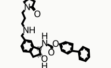 O=C(N[C@@H]1c2cc(CNCCCN3CCCC3=O)ccc2C[C@H]1O)Oc1ccc(-c2ccccc2)cc1